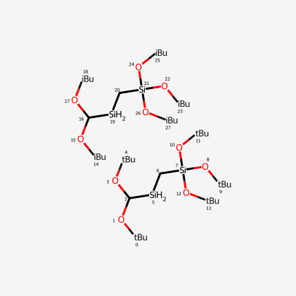 CC(C)(C)OC(OC(C)(C)C)[SiH2]C[Si](OC(C)(C)C)(OC(C)(C)C)OC(C)(C)C.CCC(C)OC(OC(C)CC)[SiH2]C[Si](OC(C)CC)(OC(C)CC)OC(C)CC